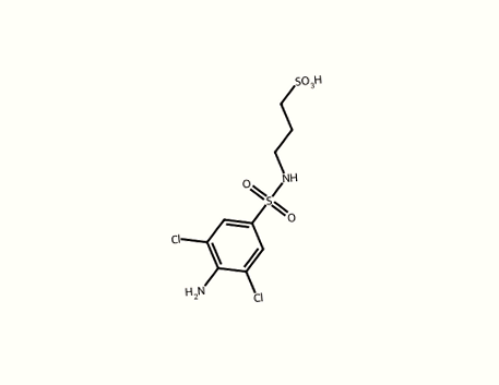 Nc1c(Cl)cc(S(=O)(=O)NCCCS(=O)(=O)O)cc1Cl